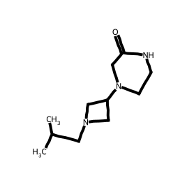 CC(C)CN1CC(N2CCNC(=O)C2)C1